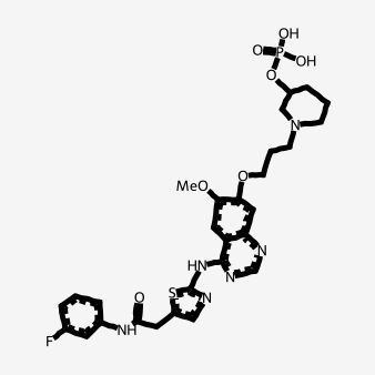 COc1cc2c(Nc3ncc(CC(=O)Nc4cccc(F)c4)s3)ncnc2cc1OCCCN1CCCC(OP(=O)(O)O)C1